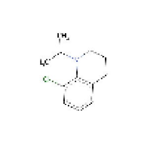 CC(C)N1CCCc2cccc(Cl)c21